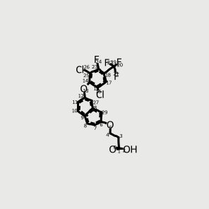 O=C(O)CCOc1ccc2ccc(Oc3c(Cl)cc(C(F)(F)F)c(F)c3Cl)cc2c1